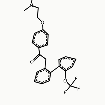 CN(C)CCOc1ccc(C(=O)Cc2ccccc2-c2ccccc2OC(F)(F)F)cc1